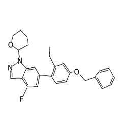 CCc1cc(OCc2ccccc2)ccc1-c1cc(F)c2cnn(C3CCCCO3)c2c1